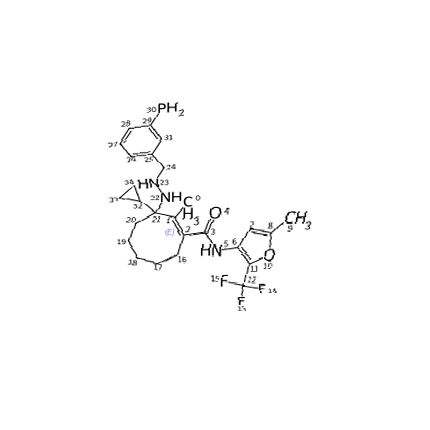 C/C1=C(\C(=O)Nc2cc(C)oc2C(F)(F)F)CCCCCC1(NNCc1cccc(P)c1)C1CC1